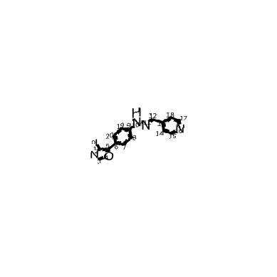 Ic1ncoc1-c1ccc(NN=Cc2ccncc2)cc1